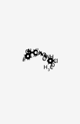 COc1ccc(NC(=O)OCCN2CCC(c3noc4cc(F)ccc34)CC2)cc1Cl